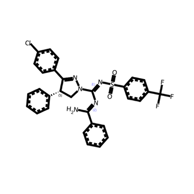 N/C(=N\C(=N/S(=O)(=O)c1ccc(C(F)(F)F)cc1)N1C[C@H](c2ccccc2)C(c2ccc(Cl)cc2)=N1)c1ccccc1